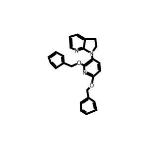 c1ccc(COc2ccc(N3CCc4cccnc43)c(OCc3ccccc3)n2)cc1